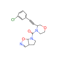 O=C(N1CCOCC1C#Cc1cccc(Cl)c1)N1CCC2C=NOC21